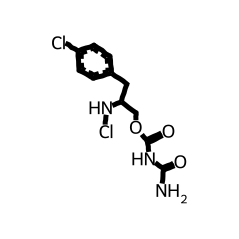 NC(=O)NC(=O)OCC(Cc1ccc(Cl)cc1)NCl